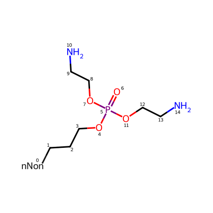 CCCCCCCCCCCCOP(=O)(OCCN)OCCN